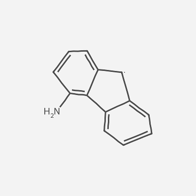 Nc1cccc2c1-c1ccccc1[CH]2